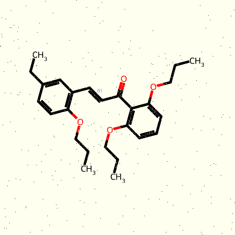 CCCOc1ccc(CC)cc1/C=C/C(=O)c1c(OCCC)cccc1OCCC